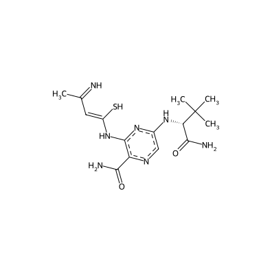 CC(=N)/C=C(\S)Nc1nc(N[C@@H](C(N)=O)C(C)(C)C)cnc1C(N)=O